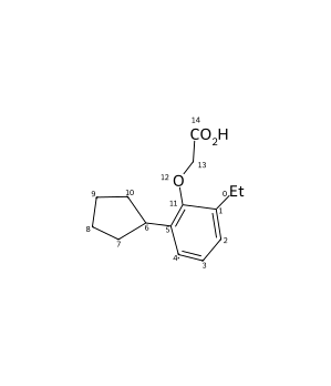 CCc1cc[c]c(C2CCCC2)c1OCC(=O)O